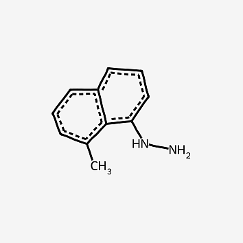 Cc1cccc2cccc(NN)c12